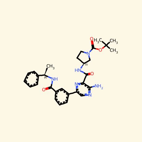 C[C@@H](NC(=O)c1cccc(-c2cnc(N)c(C(=O)N[C@H]3CCN(C(=O)OC(C)(C)C)C3)n2)c1)c1ccccc1